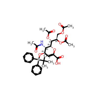 CC(=O)N[C@@H]1[C@H]([C@H](OC(C)=O)[C@@H](COC(C)=O)OC(C)=O)OC(C(=O)O)=C[C@H]1O[Si](c1ccccc1)(c1ccccc1)C(C)(C)C